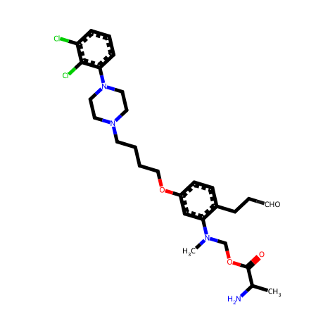 CC(N)C(=O)OCN(C)c1cc(OCCCCN2CCN(c3cccc(Cl)c3Cl)CC2)ccc1CCC=O